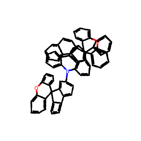 c1ccc(-c2ccc(-c3ccccc3N(c3ccc4c(c3)C3(c5ccccc5Oc5ccccc53)c3ccccc3-4)c3cccc4c3-c3c(ccc5ccccc35)C43c4ccccc4Oc4ccccc43)cc2)cc1